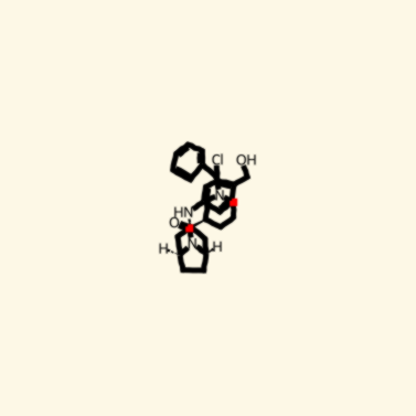 O=C([C@@H]1CCCN(Cc2ccccc2)C1)N1[C@@H]2CC[C@H]1C[C@H](Nc1ccc(CO)c(Cl)c1)C2